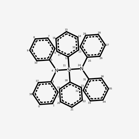 c1ccc(N(c2ccccc2)[Si](c2ccccc2)(c2ccccc2)N(c2ccccc2)c2ccccc2)cc1